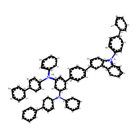 c1ccc(-c2ccc(N(c3ccccc3)c3cc(-c4ccc(-c5ccc6c(c5)c5ccccc5n6-c5ccc(-c6ccccc6)cc5)cc4)cc(N(c4ccccc4)c4ccc(-c5ccccc5)cc4)c3)cc2)cc1